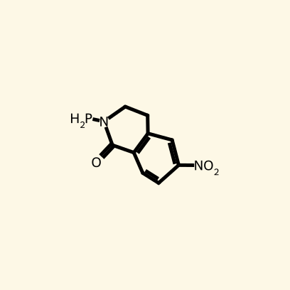 O=C1c2ccc([N+](=O)[O-])cc2CCN1P